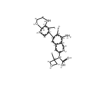 Cc1c(-c2cc3cc(N(C(=O)O)C4(C)COC4)ncc3c(N)c2F)cnc2c1NCCO2